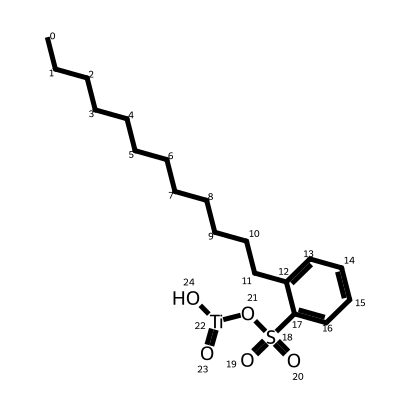 CCCCCCCCCCCCc1ccccc1S(=O)(=O)[O][Ti](=[O])[OH]